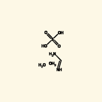 N=CN.O.O.O=S(=O)(O)O